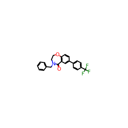 O=C1c2cc(-c3ccc(C(F)(F)F)cc3)ccc2OCCN1Cc1ccccc1